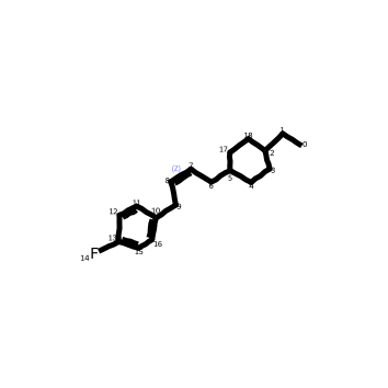 CCC1CCC(C/C=C\Cc2ccc(F)cc2)CC1